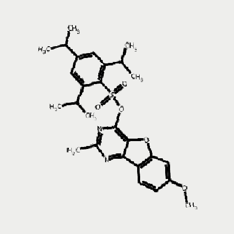 COc1ccc2c(c1)oc1c(OS(=O)(=O)c3c(C(C)C)cc(C(C)C)cc3C(C)C)nc(C)nc12